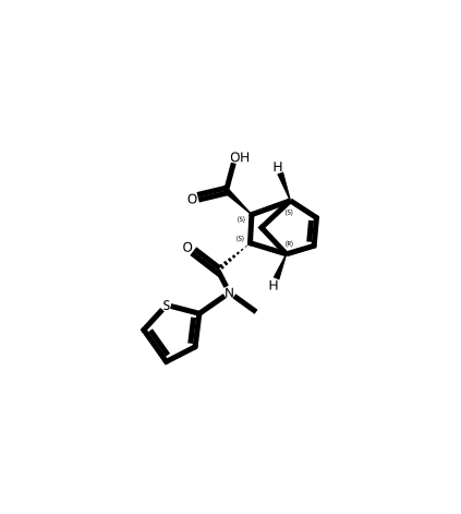 CN(C(=O)[C@@H]1[C@@H](C(=O)O)[C@@H]2C=C[C@H]1C2)c1cccs1